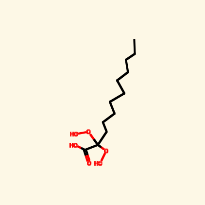 CCCCCCCCCCC(OO)(OO)C(=O)O